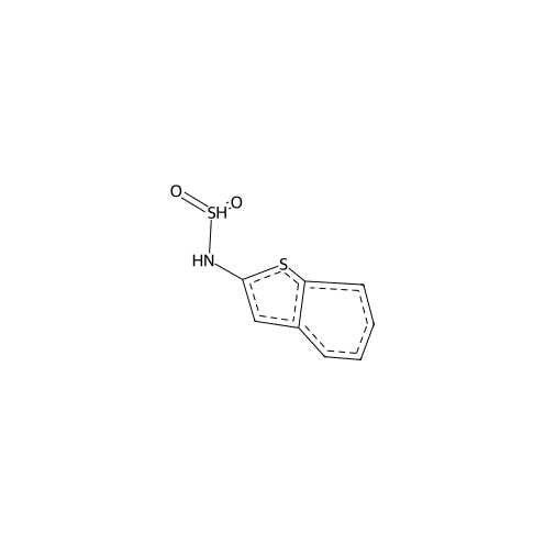 O=[SH](=O)Nc1cc2ccccc2s1